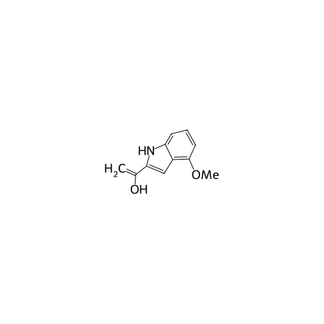 C=C(O)c1cc2c(OC)cccc2[nH]1